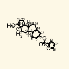 C[C@]12CC[C@@H]3c4ccc(OC(=O)c5ccco5)cc4CC[C@H]3[C@@H]1CC[C@@H]2O